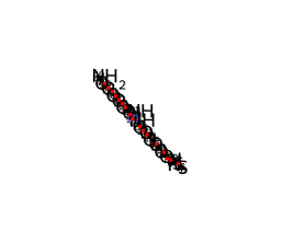 CSCSc1ncc(COCCOCCOCCOCCOCCOCCN/C=C(/COCCOCCOCCOCCOCCOCCN)N=N)cn1